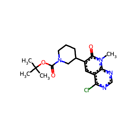 Cn1c(=O)c(C2CCCN(C(=O)OC(C)(C)C)C2)cc2c(Cl)ncnc21